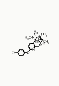 C=C[C@@H]1[C@H]2C=C(C)C[C@]1(N(C)C)c1ccc(Oc3ccc(Cl)cc3)nc1C2